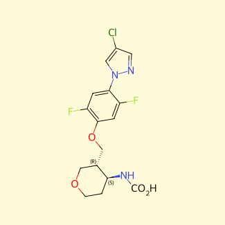 O=C(O)N[C@H]1CCOC[C@@H]1COc1cc(F)c(-n2cc(Cl)cn2)cc1F